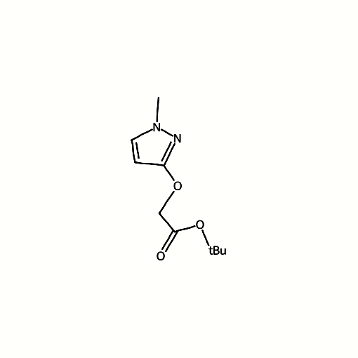 Cn1ccc(OCC(=O)OC(C)(C)C)n1